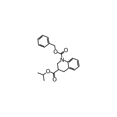 CC(C)OC(=O)C1Cc2ccccc2N(C(=O)OCc2ccccc2)C1